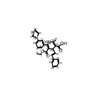 CCOC(=O)C1=C(c2cccc(-n3ccnc3)c2)NC(C)=C(C(=O)O)C1C=Cc1ccccc1